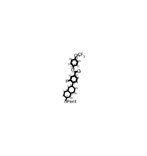 CCCCCC1CCC2CC(c3ccc(C(=O)Oc4ccc(OC(F)(F)F)cc4)cc3F)CCC2C1